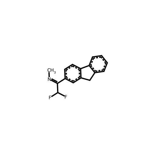 C/N=C(\c1ccc2c(c1)Cc1ccccc1-2)C(F)F